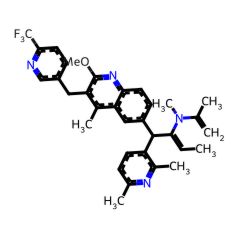 C=C(C)N(C)/C(=C\C)C(c1ccc2nc(OC)c(Cc3ccc(C(F)(F)F)nc3)c(C)c2c1)c1ccc(C)nc1C